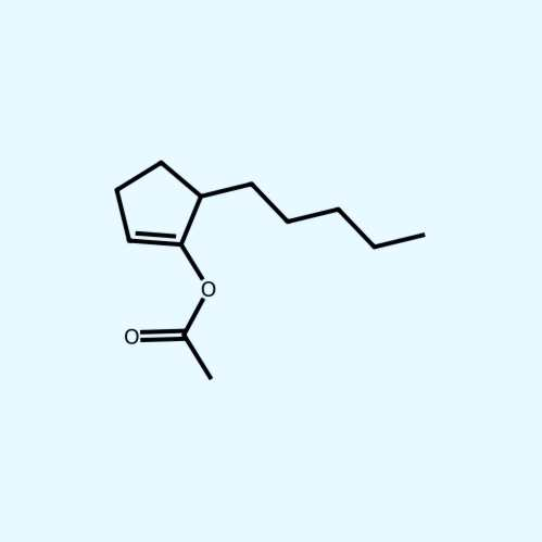 CCCCCC1CCC=C1OC(C)=O